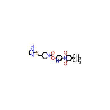 CC1(C)CC(=O)N(c2ccc(OC(=O)N3CCC(CSc4ncc[nH]4)CC3)nc2)C(=O)C1